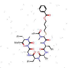 CCCC(=O)N(C)[C@H](SCCCCOC(=O)c1ccccc1)C(=O)N(C)[C@@H](CC(C)C)C(=O)N[C@H](C(=O)N(C)[C@@H](CC(C)C)C(=O)N[C@H](C)C(=O)NC(=O)N(C)[C@@H](CC(C)C)C(=O)NC)C(C)C